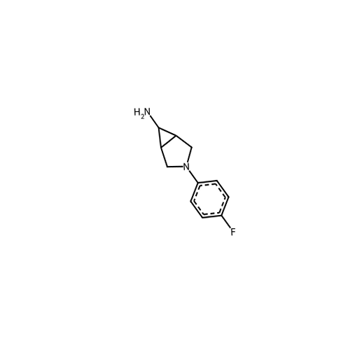 NC1C2CN(c3ccc(F)cc3)CC12